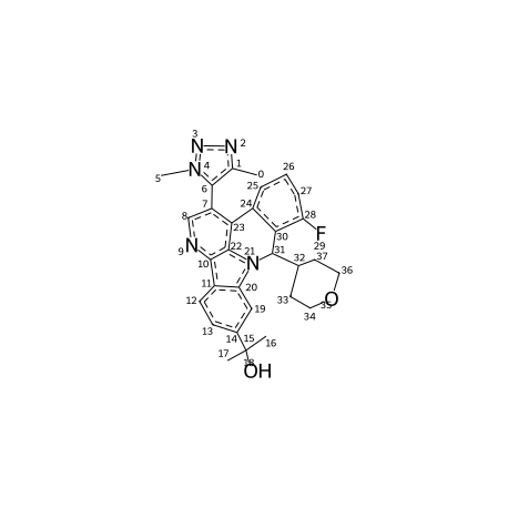 Cc1nnn(C)c1-c1cnc2c3ccc(C(C)(C)O)cc3n3c2c1-c1cccc(F)c1C3C1CCOCC1